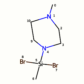 CN1CCN([Si](C)(Br)Br)CC1